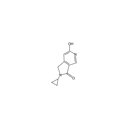 O=C1c2cnc(O)cc2CN1C1CC1